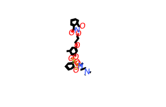 Cc1cc(OCCCON2C(=O)c3ccccc3C2=O)cc(OS(=O)(=O)c2ccccc2S(=O)(=O)N(C)CCN(C)C)c1